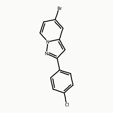 Clc1ccc(-c2cc3cc(Br)ccn3n2)cc1